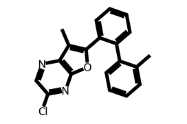 Cc1ccccc1-c1ccccc1-c1oc2nc(Cl)cnc2c1C